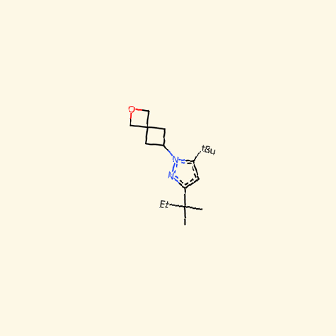 CCC(C)(C)c1cc(C(C)(C)C)n(C2CC3(COC3)C2)n1